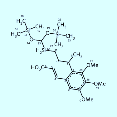 COc1cc(C=CC(=O)O)c(C(C)CC[SiH2]C(O[Si](C)(C)C)O[Si](C)(C)C)c(OC)c1OC